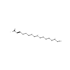 CCCCC(O)C=CCCCCCCCCCCCCCBr